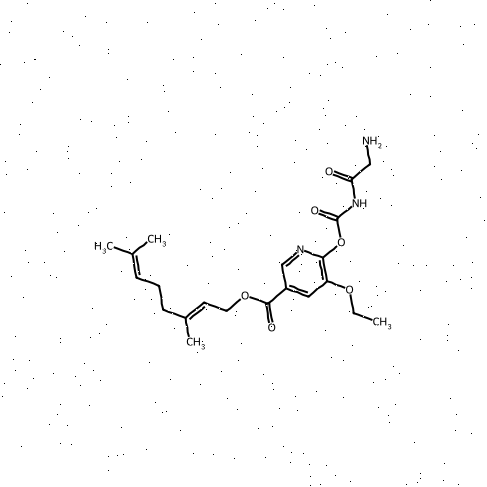 CCOc1cc(C(=O)OC/C=C(\C)CCC=C(C)C)cnc1OC(=O)NC(=O)CN